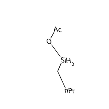 CCCC[SiH2]OC(C)=O